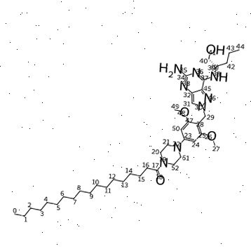 CCCCCCCCCCCCCCCCCC(=O)N1CCN(c2cc(OC)c(Cn3cc4nc(N)nc(N[C@H](CO)CCC)c4n3)c(OC)c2)CC1